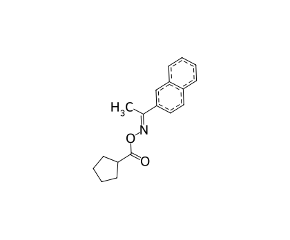 C/C(=N\OC(=O)C1CCCC1)c1ccc2ccccc2c1